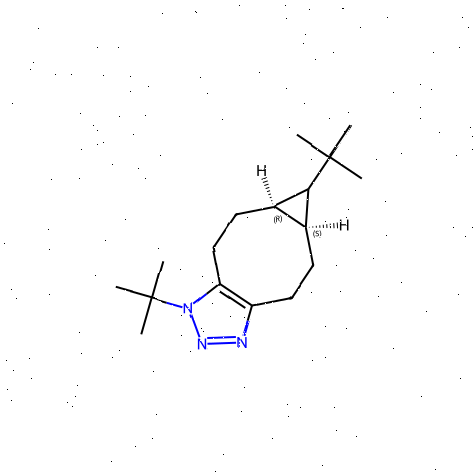 CC(C)(C)C1[C@H]2CCc3nnn(C(C)(C)C)c3CC[C@@H]12